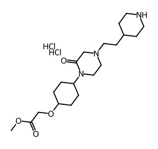 COC(=O)COC1CCC(N2CCN(CCC3CCNCC3)CC2=O)CC1.Cl.Cl